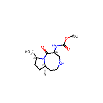 CC(C)(C)OC(=O)N[C@H]1CNCC[C@H]2CC[C@@H](C(=O)O)N2C1=O